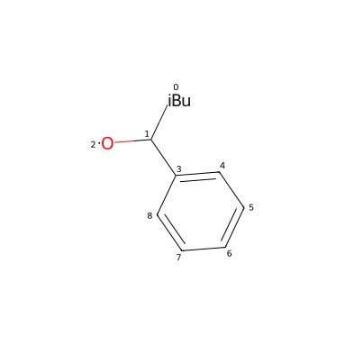 CCC(C)C([O])c1ccccc1